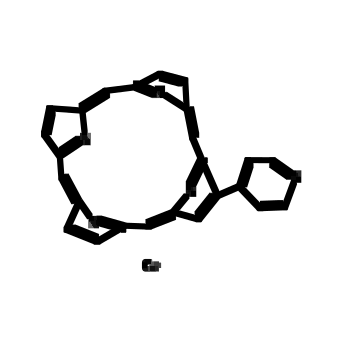 C1=CC2=NC1=CC1=NC(=CC3=NC(=CC4=NC(=C2)C=C4)C=C3c2ccncc2)C=C1.[Cu]